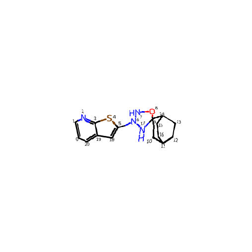 c1cnc2sc(N3NOC4(CC5CCC4CC5)N3)cc2c1